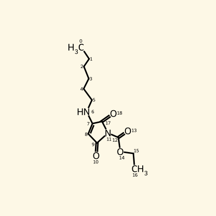 CCCCCCNC1=CC(=O)N(C(=O)OCC)C1=O